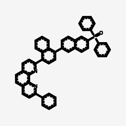 O=P(c1ccccc1)(c1ccccc1)c1ccc2cc(-c3ccc(-c4ccc5ccc6ccc(-c7ccccc7)nc6c5n4)c4ccccc34)ccc2c1